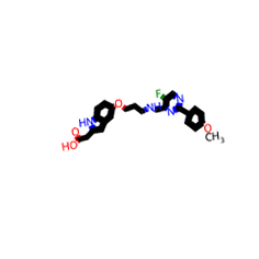 COc1ccc(-c2ncc(F)c(CNCCCOc3ccc4[nH]c(CC(=O)O)cc4c3)n2)cc1